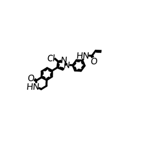 C=CC(=O)Nc1cccc(-n2cc(-c3ccc4c(c3)CCNC4=O)c(Cl)n2)c1